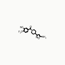 N#Cc1cc(C(=O)N2CCC(c3cc(N)on3)CC2)ccc1C(F)(F)F